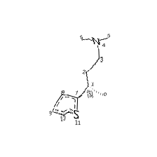 C[C@@H](CCN(C)C)c1cccs1